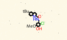 COc1cc(CNC(=O)c2ccc3cc(C(C)(C)C)ccc3n2)c(Cl)cc1O